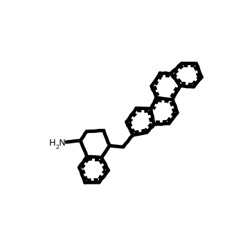 NC1CCC(Cc2ccc3c(ccc4c5ccccc5ccc34)c2)c2ccccc21